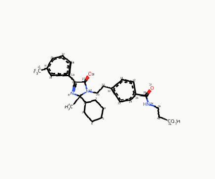 CC1(C2CCCCC2)N=C(c2cccc(C(F)(F)F)c2)C(=O)N1CCc1ccc(C(=O)NCCC(=O)O)cc1